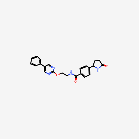 O=C1CCC(c2ccc(C(=O)NCCOc3ncc(-c4ccccc4)cn3)cc2)N1